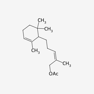 CC(=O)OCC(C)=CCCC1C(C)=CCCC1(C)C